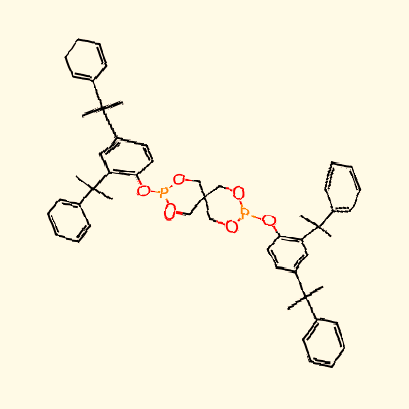 CC(C)(C1=CCCC=C1)c1ccc(OP2OCC3(CO2)COP(Oc2ccc(C(C)(C)c4ccccc4)cc2C(C)(C)c2ccccc2)OC3)c(C(C)(C)c2ccccc2)c1